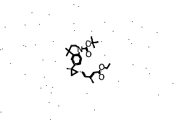 CCOC(=O)C=C(C)C=C[C@@H]1C[C@]1(C)c1ccc2c(c1)C(C)(C)CCN2C(=O)OC(C)(C)C